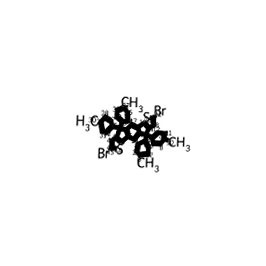 Cc1ccc(C2(c3ccc(C)cc3)c3cc4c(cc3-c3sc(Br)cc32)C(c2ccc(C)cc2)(c2ccc(C)cc2)c2cc(Br)sc2-4)cc1